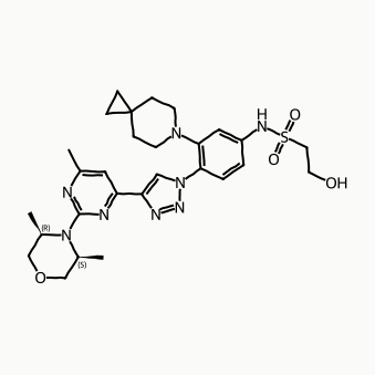 Cc1cc(-c2cn(-c3ccc(NS(=O)(=O)CCO)cc3N3CCC4(CC3)CC4)nn2)nc(N2[C@H](C)COC[C@@H]2C)n1